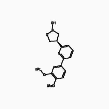 CCCOc1cc(-c2cccc([C@H]3COB(O)C3)n2)ccc1OC